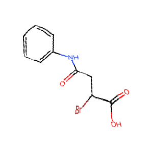 O=C(CC(Br)C(=O)O)Nc1ccccc1